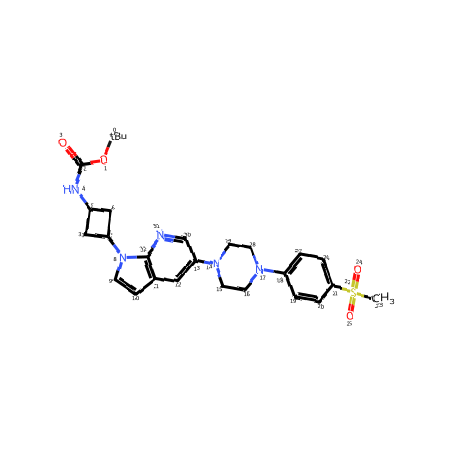 CC(C)(C)OC(=O)NC1CC(n2ccc3cc(N4CCN(c5ccc(S(C)(=O)=O)cc5)CC4)cnc32)C1